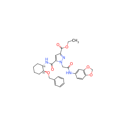 CCOC(=O)c1cc(C(=O)N[C@H]2CCCC[C@@H]2OCc2ccccc2)n(CC(=O)Nc2ccc3c(c2)OCO3)n1